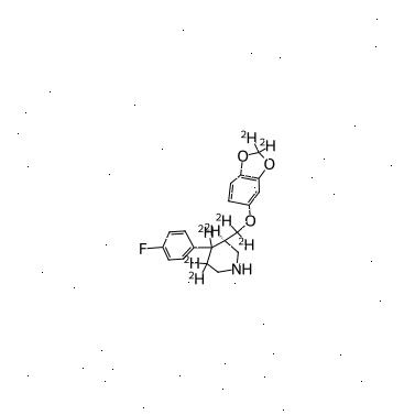 [2H]C1([2H])Oc2ccc(OC([2H])([2H])[C@@]3([2H])CNCC([2H])([2H])C3([2H])c3ccc(F)cc3)cc2O1